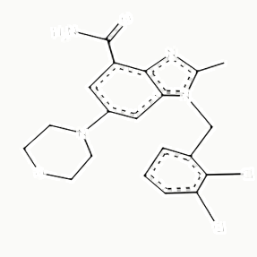 Cc1nc2c(C(N)=O)cc(N3CCOCC3)cc2n1Cc1cccc(Cl)c1Cl